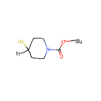 [CH2]CC1(S)CCN(C(=O)OC(C)(C)C)CC1